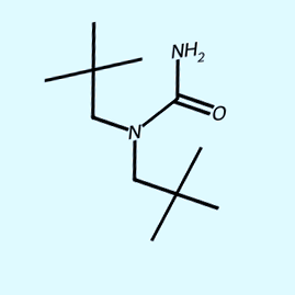 CC(C)(C)CN(CC(C)(C)C)C(N)=O